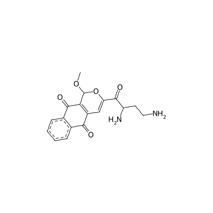 COC1OC(C(=O)C(N)CCN)=CC2=C1C(=O)c1ccccc1C2=O